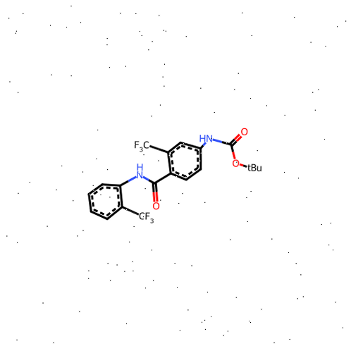 CC(C)(C)OC(=O)Nc1ccc(C(=O)Nc2ccccc2C(F)(F)F)c(C(F)(F)F)c1